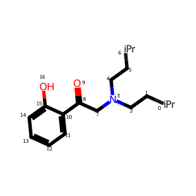 CC(C)CCN(CCC(C)C)CC(=O)c1ccccc1O